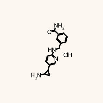 Cl.NC(=O)c1cccc(CNc2ccc(C3CC3N)cn2)c1